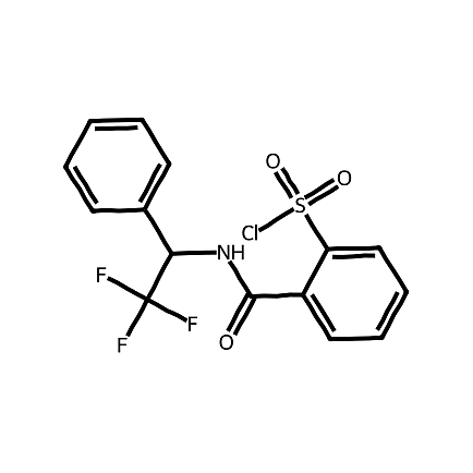 O=C(NC(c1ccccc1)C(F)(F)F)c1ccccc1S(=O)(=O)Cl